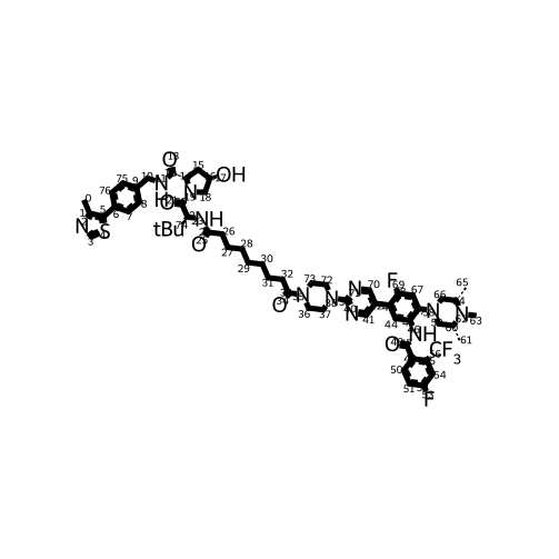 Cc1ncsc1-c1ccc(CNC(=O)[C@@H]2C[C@@H](O)CN2C(=O)[C@@H](NC(=O)CCCCCCCC(=O)N2CCN(c3ncc(-c4cc(NC(=O)c5ccc(F)cc5C(F)(F)F)c(N5C[C@@H](C)N(C)[C@@H](C)C5)cc4F)cn3)CC2)C(C)(C)C)cc1